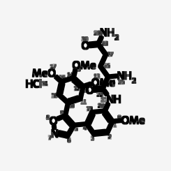 COc1ccc(-c2cnoc2-c2cc(OC)c(OC)c(OC)c2)cc1NC(=O)C(N)CCC(N)=O.Cl